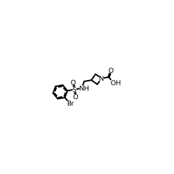 O=C(O)N1CC(CNS(=O)(=O)c2ccccc2Br)C1